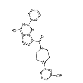 N#Cc1cccc(N2CCN(C(=O)c3csc4c(O)nc(-c5ccccn5)nc34)CC2)c1